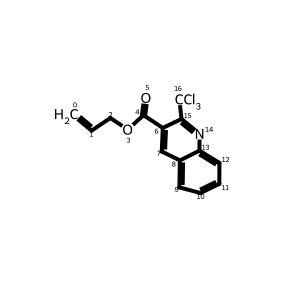 C=CCOC(=O)c1cc2ccccc2nc1C(Cl)(Cl)Cl